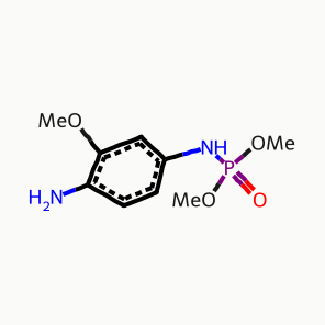 COc1cc(NP(=O)(OC)OC)ccc1N